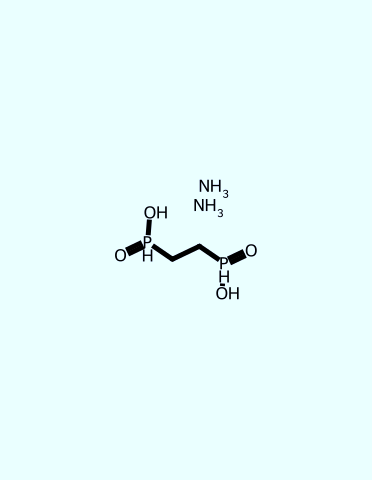 N.N.O=[PH](O)CC[PH](=O)O